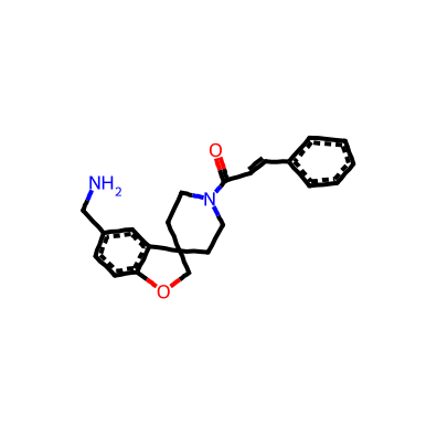 NCc1ccc2c(c1)C1(CCN(C(=O)C=Cc3ccccc3)CC1)CO2